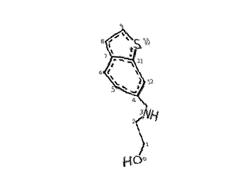 OCCNc1ccc2ccsc2c1